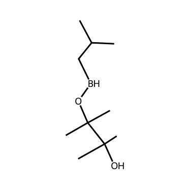 CC(C)CBOC(C)(C)C(C)(C)O